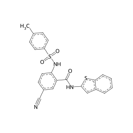 Cc1ccc(S(=O)(=O)Nc2ccc(C#N)cc2C(=O)Nc2cc3ccccc3s2)cc1